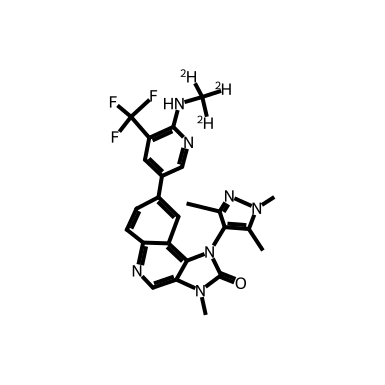 [2H]C([2H])([2H])Nc1ncc(-c2ccc3ncc4c(c3c2)n(-c2c(C)nn(C)c2C)c(=O)n4C)cc1C(F)(F)F